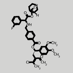 C=C(Cl)/C(C[C@H](OC(=O)c1ccc(CNC(C(=O)O[C@H]2CN3CCC2CC3)c2cccc(F)c2)cc1)c1ccc(OC)c(OC)c1)=C(\C)Cl